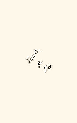 [Gd].[O]=[Ti].[Zr]